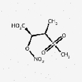 CC([C@@H](O[N+](=O)[O-])C(=O)O)S(C)(=O)=O